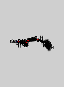 CC(C)(C)/C=C(\C#N)C(=O)Nc1cccc(Oc2nc(Nc3ccc(N4CCN(C(=O)CCOCCNC(=O)CNc5cccc6c5C(=O)N(C5CCC(=O)NC5=O)C6=O)CC4)cc3)nc3ccoc23)c1